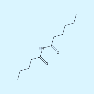 CCCCCC(=O)NC(=O)CCCC